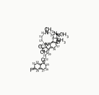 Cc1c2c(nn1C)CN(C)CCCCn1c(C(=O)O)c(CCCOc3cccc4cc(F)ccc34)c3ccc(Cl)c-2c31